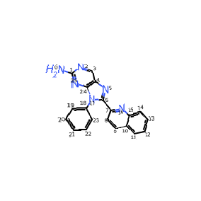 Nc1ncc2nc(-c3ccc4ccccc4n3)n(-c3ccccc3)c2n1